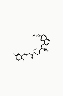 COc1ccc2nccc(C[C@H](N)[C@H]3CC[C@H](NCC=Cc4cc(F)ccc4F)CC3)c2n1